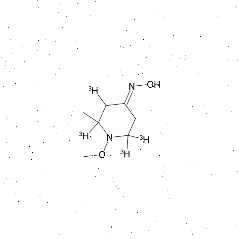 [3H]C1C(=NO)CC([3H])([3H])N(OC)C1([3H])C